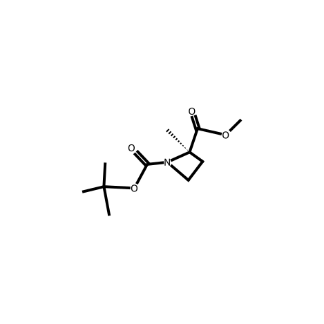 COC(=O)[C@@]1(C)CCN1C(=O)OC(C)(C)C